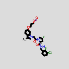 CC(=O)c1cn(CC(=O)N2C[C@H](F)C[C@H]2C(=O)NCc2cccc(Cl)c2F)c2cc(OCCCOP=O)ccc12